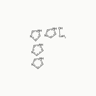 [OH][GaH2].c1c[nH]cn1.c1c[nH]cn1.c1c[nH]cn1.c1c[nH]cn1